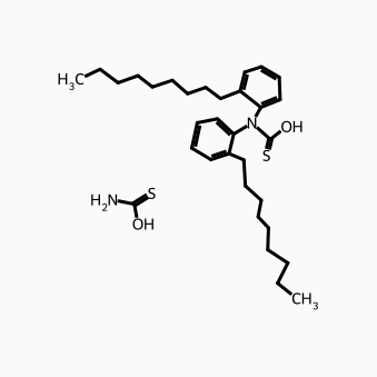 CCCCCCCCCc1ccccc1N(C(O)=S)c1ccccc1CCCCCCCCC.NC(O)=S